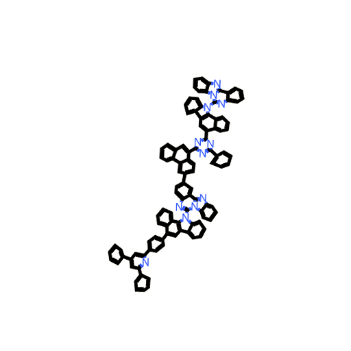 c1ccc(-c2cc(-c3ccccc3)nc(-c3ccc(-c4cc5c6ccccc6n(-c6nc7ccc(-c8ccc9c(-c%10nc(-c%11ccccc%11)nc(-c%11cc%12c%13ccccc%13n(-c%13nc%14ccccc%14c%14nc%15ccccc%15n%13%14)c%12c%12ccccc%11%12)n%10)cc%10ccccc%10c9c8)cc7c7nc8ccccc8n67)c5c5ccccc45)cc3)c2)cc1